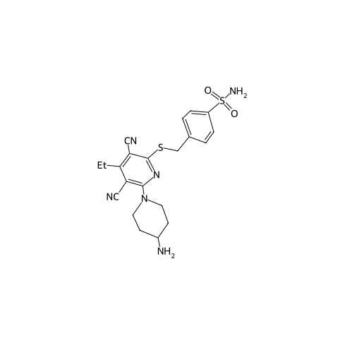 CCc1c(C#N)c(SCc2ccc(S(N)(=O)=O)cc2)nc(N2CCC(N)CC2)c1C#N